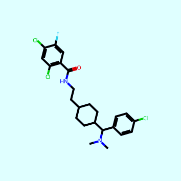 CN(C)C(c1ccc(Cl)cc1)C1CCC(CCNC(=O)c2cc(F)c(Cl)cc2Cl)CC1